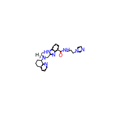 CN(Cc1nc2c(C(=O)NCCCn3ccnc3)cccc2[nH]1)C1CCCc2cccnc21